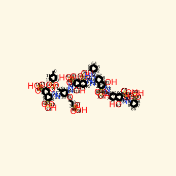 Cc1ccc(S(=O)(=O)Oc2cc(S(=O)(=O)O)cc3cc(S(=O)(=O)O)cc(N=Nc4cc(OCCCS(=O)(=O)O)c(N=Nc5c(S(=O)(=O)O)cc6c(S(=O)(=O)O)c(N=Nc7c(Nc8ccccc8)ccc8c(O)c(N=Nc9ccc%10c(O)c(N=Nc%11ccccc%11S(=O)(=O)O)c(S(=O)(=O)O)cc%10c9)c(S(=O)(=O)O)cc78)ccc6c5O)cc4C)c23)cc1